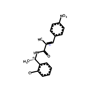 C[C@H](NC(=O)/C(C#N)=C/c1ccc([N+](=O)[O-])cc1)c1ccccc1Cl